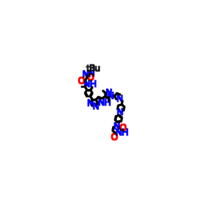 Cc1cc(-c2ncnc3[nH]c(-c4c(C)nn(C5CCN(CC6CCN(c7ccc(N8CCC(=O)NC8=O)cc7)CC6)C5)c4C)cc23)ccc1C(C)NC(=O)c1nc(C(C)(C)C)no1